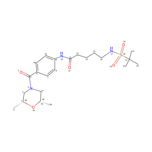 C[C@@H]1CN(C(=O)c2ccc(NC(=O)CCCCNS(=O)(=O)C(C)(C)C)cc2)C[C@H](C)O1